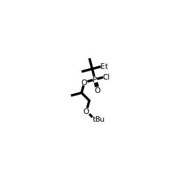 CCC(C)(C)P(=O)(Cl)OC(C)COC(C)(C)C